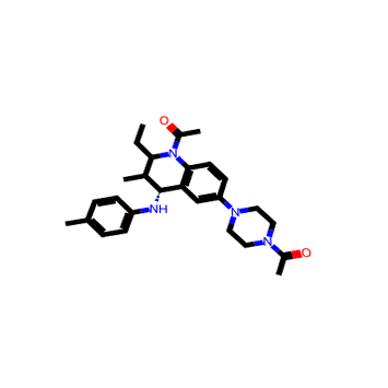 CCC1C(C)[C@@H](Nc2ccc(C)cc2)c2cc(N3CCN(C(C)=O)CC3)ccc2N1C(C)=O